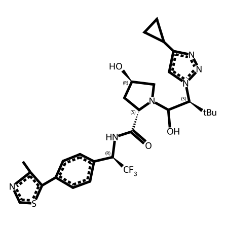 Cc1ncsc1-c1ccc([C@@H](NC(=O)[C@@H]2C[C@@H](O)CN2C(O)[C@@H](n2cc(C3CC3)nn2)C(C)(C)C)C(F)(F)F)cc1